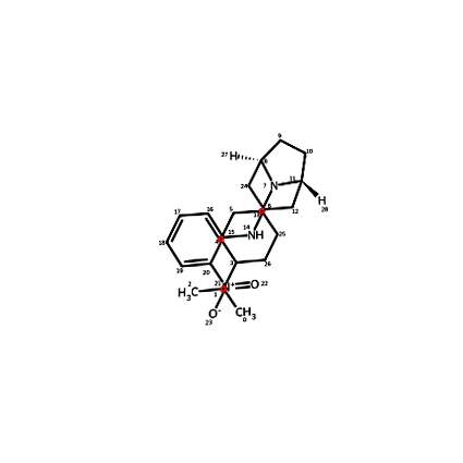 CC(C)C1CCC(N2[C@@H]3CC[C@@H]2CC(Nc2ccccc2[N+](=O)[O-])C3)CC1